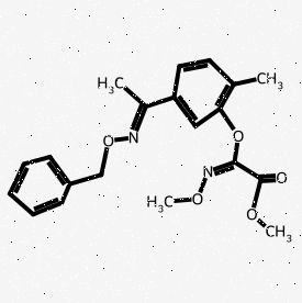 CON=C(Oc1cc(C(C)=NOCc2ccccc2)ccc1C)C(=O)OC